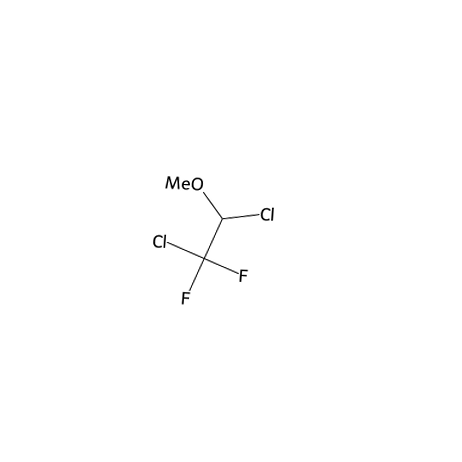 COC(Cl)C(F)(F)Cl